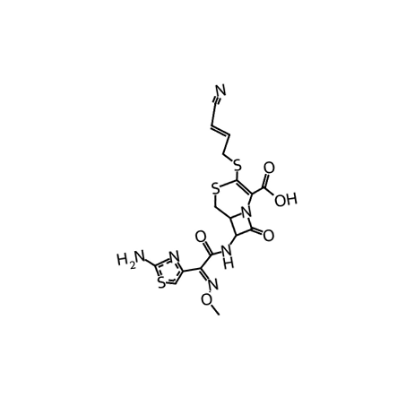 CON=C(C(=O)NC1C(=O)N2C(C(=O)O)=C(SC/C=C/C#N)SCC12)c1csc(N)n1